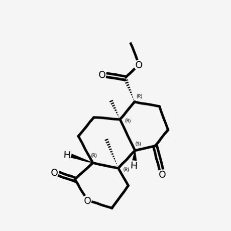 COC(=O)[C@@H]1CCC(=O)[C@H]2[C@@]1(C)CC[C@H]1C(=O)OCC[C@]21C